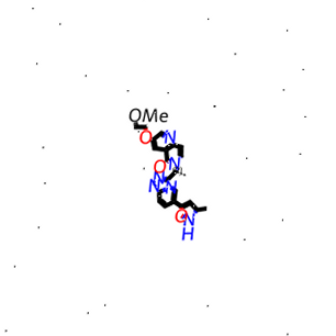 COCCOc1cnc2ccn([C@H](C)c3nnc4ccc(C5=CC(C)NO5)cn34)c(=O)c2c1